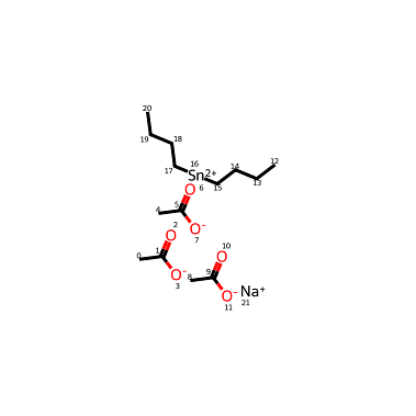 CC(=O)[O-].CC(=O)[O-].CC(=O)[O-].CCC[CH2][Sn+2][CH2]CCC.[Na+]